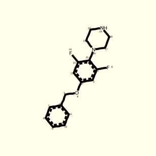 Fc1cc(OCc2ccccc2)cc(F)c1N1CCNCC1